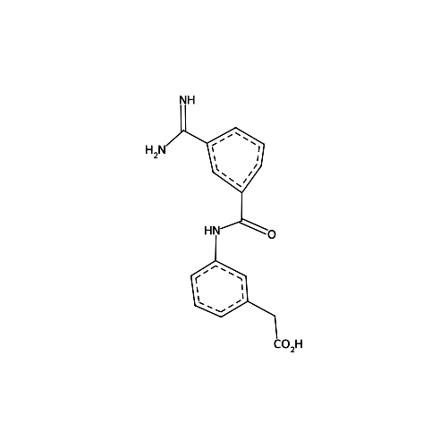 N=C(N)c1cccc(C(=O)Nc2cccc(CC(=O)O)c2)c1